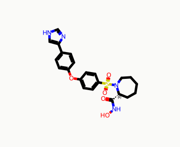 O=C(NO)[C@H]1CCCCCN1S(=O)(=O)c1ccc(Oc2ccc(-c3c[nH]cn3)cc2)cc1